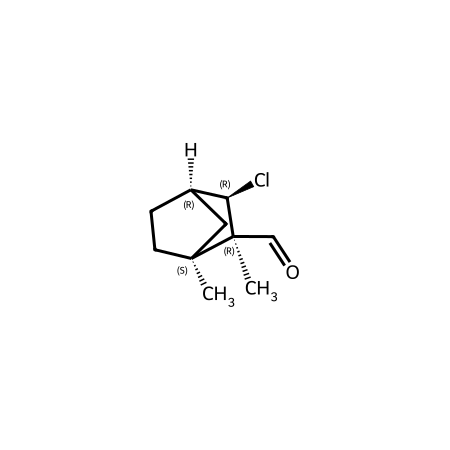 C[C@]12CC[C@H](C1)[C@@H](Cl)[C@@]2(C)C=O